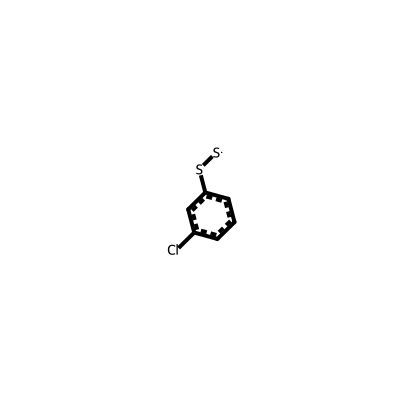 [S]Sc1cccc(Cl)c1